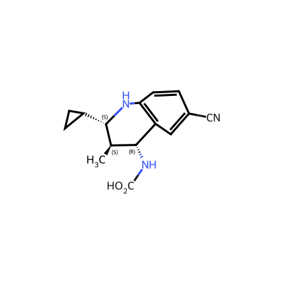 C[C@@H]1[C@@H](NC(=O)O)c2cc(C#N)ccc2N[C@H]1C1CC1